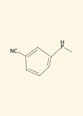 CPc1cccc(C#N)c1